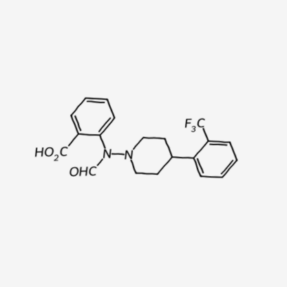 O=CN(c1ccccc1C(=O)O)N1CCC(c2ccccc2C(F)(F)F)CC1